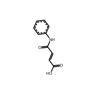 O=C(O)/C=C/C(=O)Nc1c[c]ccc1